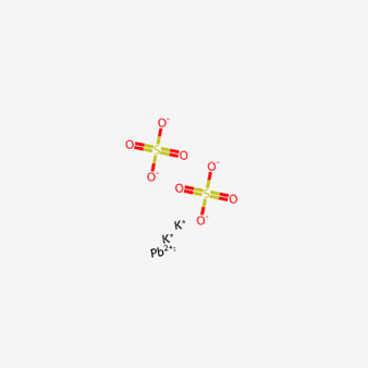 O=S(=O)([O-])[O-].O=S(=O)([O-])[O-].[K+].[K+].[Pb+2]